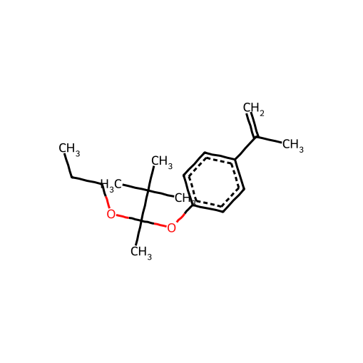 C=C(C)c1ccc(OC(C)(OCCC)C(C)(C)C)cc1